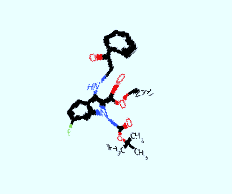 CCOC(=O)c1c(NCC(=O)c2ccccc2)c2ccc(F)cc2n1C(=O)OC(C)(C)C